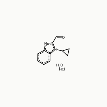 Cl.O.O=Cc1nc2ccccc2n1C1CC1